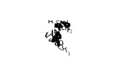 CCc1nc2ccc(F)cc2n1-c1cccc(CNc2ccc3c(c2)OCC3C(=O)OC)c1C